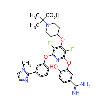 Cn1ccnc1-c1cccc(Oc2nc(Oc3cc(C(=N)N)ccc3O)c(F)c(OC3CCN(C(C)(C)C(=O)O)CC3)c2F)c1